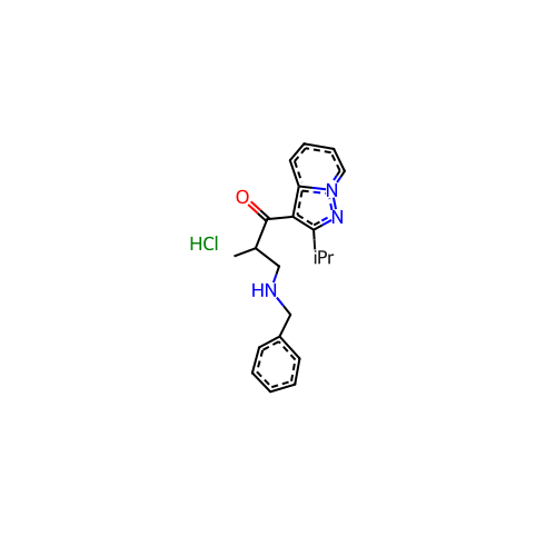 CC(CNCc1ccccc1)C(=O)c1c(C(C)C)nn2ccccc12.Cl